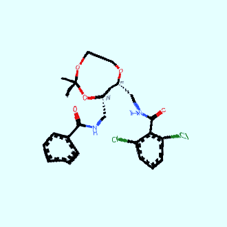 CC1(C)OCCO[C@H](CNC(=O)c2c(Cl)cccc2Cl)[C@H](CNC(=O)c2ccccc2)O1